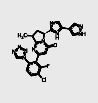 C[C@H]1C[C@H](c2ncc(-c3cn[nH]c3)[nH]2)n2c1nc(-c1c(-n3cnnn3)ccc(Cl)c1F)cc2=O